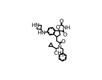 C[C@@H](C1CC1)N(Cc1ccccc1)C(=O)CC1CC2(OC(=O)NC2=O)c2ccc(NC3CNC3)cc21